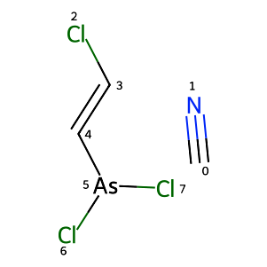 C#N.Cl/C=C/[As](Cl)Cl